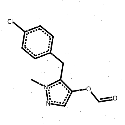 Cn1ncc(OC=O)c1Cc1ccc(Cl)cc1